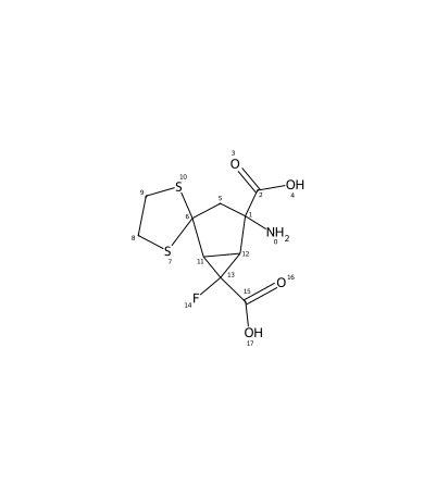 NC1(C(=O)O)CC2(SCCS2)C2C1C2(F)C(=O)O